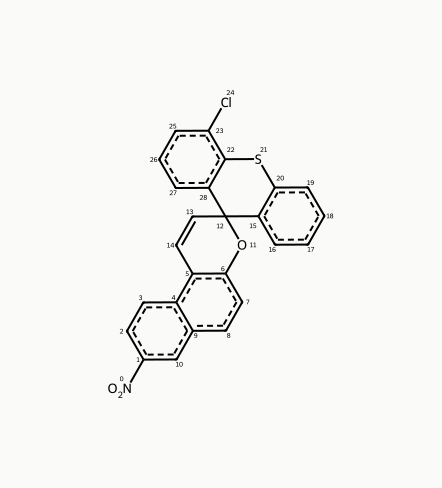 O=[N+]([O-])c1ccc2c3c(ccc2c1)OC1(C=C3)c2ccccc2Sc2c(Cl)cccc21